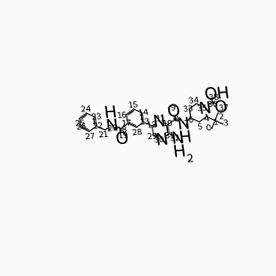 CC(C)(C)C1CC(NC(=O)c2nc(-c3cccc(C(=O)NCc4ccccc4)c3)cnc2N)CCN1C(=O)O